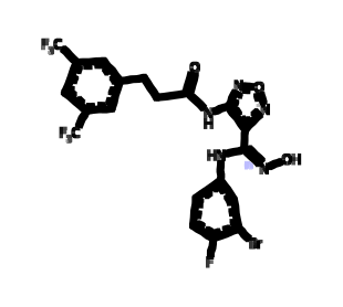 O=C(CCc1cc(C(F)(F)F)cc(C(F)(F)F)c1)Nc1nonc1/C(=N\O)Nc1ccc(F)c(Br)c1